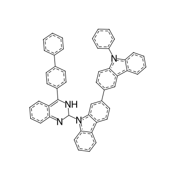 c1ccc(-c2ccc(C3=c4ccccc4=NC(n4c5ccccc5c5ccc(-c6ccc7c(c6)c6ccccc6n7-c6ccccc6)cc54)N3)cc2)cc1